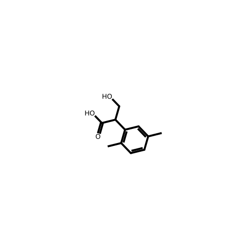 Cc1ccc(C)c(C(CO)C(=O)O)c1